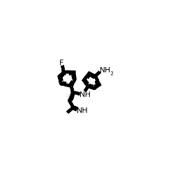 CC(=N)/C=C(\Nc1ccc(N)cc1)c1ccc(F)cc1